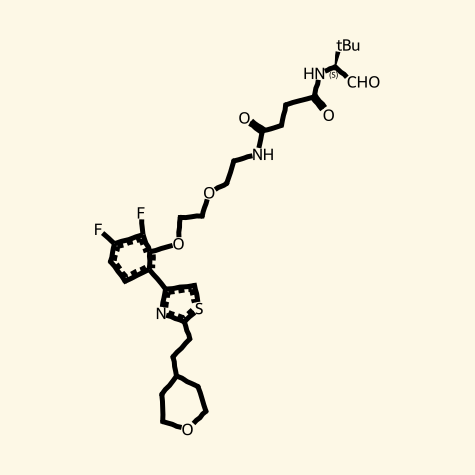 CC(C)(C)[C@@H](C=O)NC(=O)CCC(=O)NCCOCCOc1c(-c2csc(CCC3CCOCC3)n2)ccc(F)c1F